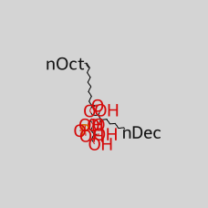 CCCCCCCC/C=C\CCCCCCCC(=O)O[C@@H](COC(C(O)CO)P(=O)(O)O)C(O)C(=O)CCCCCCCCCCCCCCC